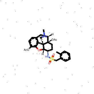 CC(=O)Oc1ccc2c3c1O[C@H]1[C@H](NS(=O)(=O)Cc4ccccc4C)CC[C@@]4(OC(C)=O)[C@@H](C2)N(C)CC[C@]314